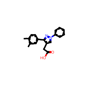 Cc1ccc(-c2nn(-c3ccccc3)cc2CC(=O)O)cc1C